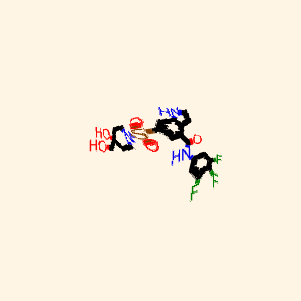 O=C(Nc1cc(F)c(F)c(F)c1)c1cc(S(=O)(=O)N2CCC(O)(CO)CC2)cc2[nH]ccc12